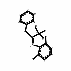 Cc1cccc(C)c1N=C(Cc1ccccc1)C(C)(C)C